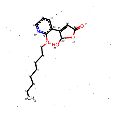 CCCCCCCCOc1ncccc1C1=CC(=O)OC1O